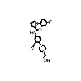 N#Cc1cc(NC(=O)c2cccn2-c2ccc(F)cc2)ccc1N1CCN(CCO)CC1